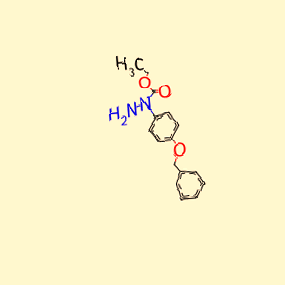 CCOC(=O)N(N)c1ccc(OCc2ccccc2)cc1